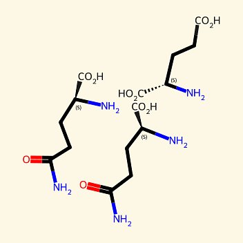 NC(=O)CC[C@H](N)C(=O)O.NC(=O)CC[C@H](N)C(=O)O.N[C@@H](CCC(=O)O)C(=O)O